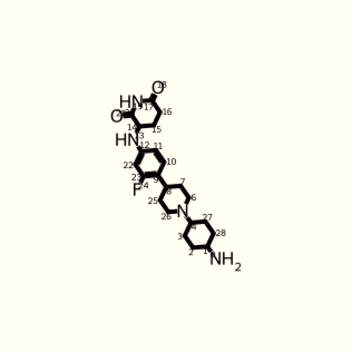 NC1CCC(N2CCC(c3ccc(NC4CCC(=O)NC4=O)cc3F)CC2)CC1